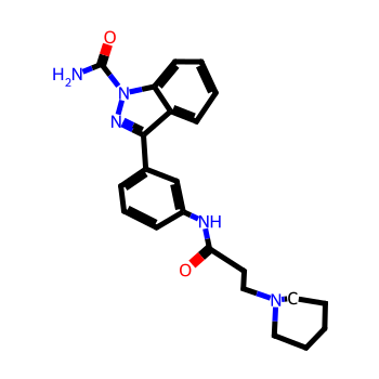 NC(=O)n1nc(-c2cccc(NC(=O)CCN3CCCCC3)c2)c2ccccc21